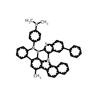 Cc1cc2c3c4c1c1ccc5ccccc5c1n4-c1c(sc4ccc(-c5ccccc5)cc14)B3N(c1ccc(N(C)C)cc1)c1ccccc1-2